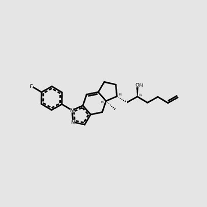 C=CCC[C@H](O)C[C@H]1CCC2=Cc3c(cnn3-c3ccc(F)cc3)C[C@@]21C